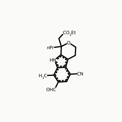 CCCC1(CC(=O)OCC)OCCc2c1[nH]c1c(C)c(C=O)cc(C#N)c21